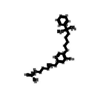 CC(C)(CCCCSc1cnc(CNCCCO[PH](=O)O)cc1F)c1ccccc1